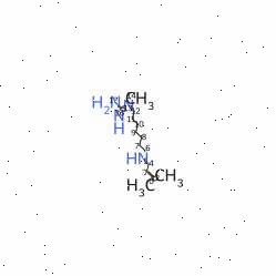 CC(C)=CCNCCCCCCCN(C)C(=N)N